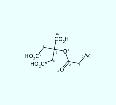 CC(=O)CC(=O)OC(CC(=O)O)(CC(=O)O)C(=O)O